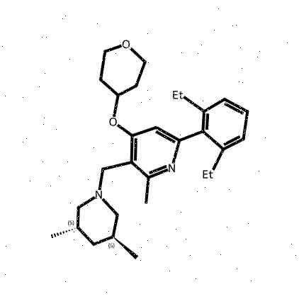 CCc1cccc(CC)c1-c1cc(OC2CCOCC2)c(CN2C[C@@H](C)C[C@H](C)C2)c(C)n1